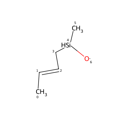 CC=CC[SiH](C)[O]